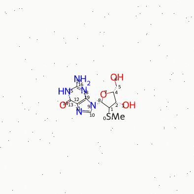 CSC1[C@@H](O)[C@@H](CO)O[C@H]1n1cnc2c(=O)[nH]c(N)nc21